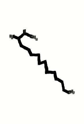 [CH2]C(CCCCCCCCCCCC)NC